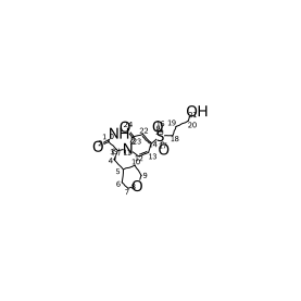 NC(=O)[C@H](CC1CCOCC1)n1ccc(S(=O)(=O)CCCO)cc1=O